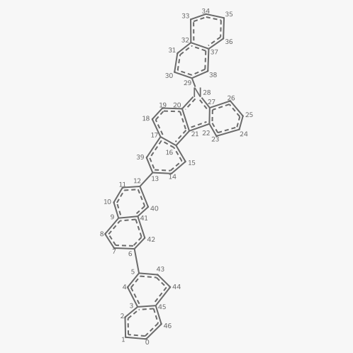 c1ccc2cc(-c3ccc4ccc(-c5ccc6c(ccc7c6c6ccccc6n7-c6ccc7ccccc7c6)c5)cc4c3)ccc2c1